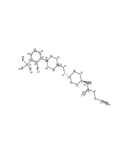 N#CCCC(=O)N[C@H]1CC[C@H](CCN2CCN(c3cccc(C(F)(F)F)c3F)CC2)CC1